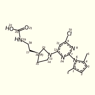 Cc1ccc(C)n1-c1nc(Cl)cc(N2CC[C@@H](CCNC(=O)O)C2)n1